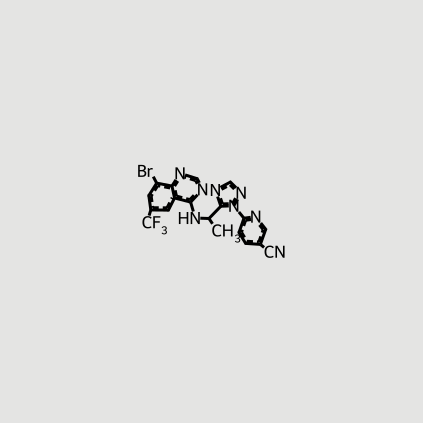 CC(Nc1ncnc2c(Br)cc(C(F)(F)F)cc12)c1ncnn1-c1ccc(C#N)cn1